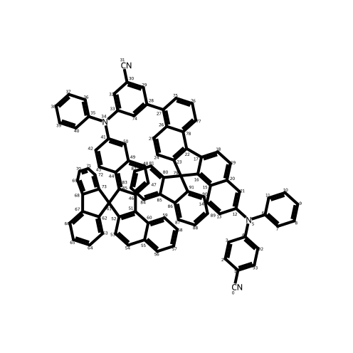 N#Cc1ccc(N(c2ccccc2)c2ccc3c4c(ccc3c2)-c2c(ccc3c(-c5cc(C#N)cc(N(c6ccccc6)c6ccc7c8c(ccc7c6)-c6c(ccc7ccccc67)C86c7ccccc7-c7ccccc76)c5)cccc23)C42c3ccccc3-c3ccccc32)cc1